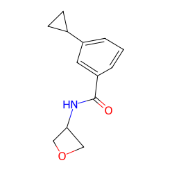 O=C(NC1COC1)c1cccc(C2CC2)c1